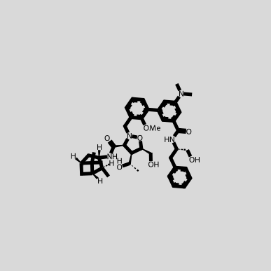 COc1c(CN2O[C@@H](CO)[C@@H]([C@H](C)O)[C@H]2C(=O)N[C@H]2C[C@H]3C[C@@H]([C@@H]2C)C3(C)C)cccc1-c1cc(C(=O)N[C@H](CO)Cc2ccccc2)cc(N(C)C)c1